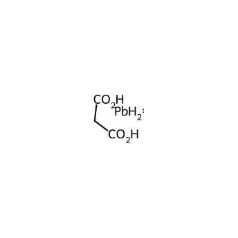 O=C(O)CC(=O)O.[PbH2]